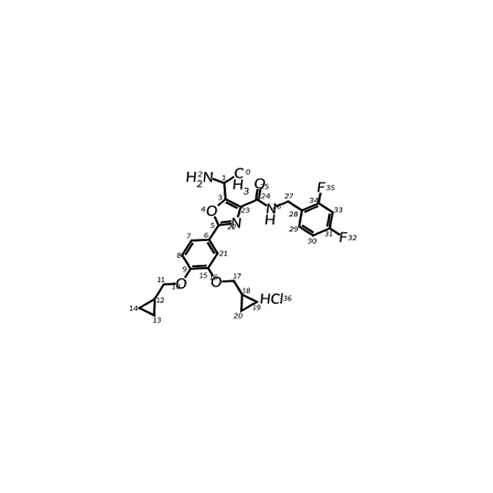 CC(N)c1oc(-c2ccc(OCC3CC3)c(OCC3CC3)c2)nc1C(=O)NCc1ccc(F)cc1F.Cl